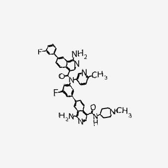 Cc1ccc(N(C(=O)c2cnc(N)c3cc(-c4cccc(F)c4)ccc23)c2cc(F)cc(-c3ccc4c(C(=O)NC5CCN(C)CC5)cnc(N)c4c3)c2)cn1